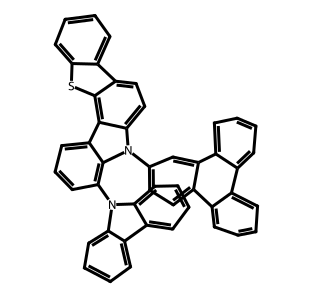 c1ccc2c(c1)sc1c2ccc2c1c1cccc(-n3c4ccccc4c4ccccc43)c1n2-c1ccc2c3ccccc3c3ccccc3c2c1